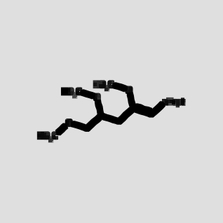 CCCCCCCC=C(CC(COC(=O)O)OC(=O)O)OC(=O)O